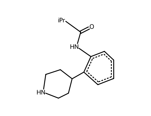 CC(C)C(=O)Nc1ccccc1C1CCNCC1